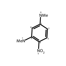 CNc1ccc([N+](=O)[O-])c(NC)c1